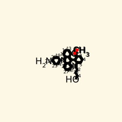 COc1cccc2c1-c1c3c(OC)cccc3[n+](-c3ccc(N)cc3)c3cccc(c13)N2CCCO